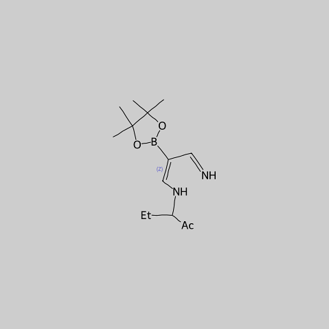 CCC(N/C=C(\C=N)B1OC(C)(C)C(C)(C)O1)C(C)=O